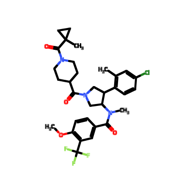 COc1ccc(C(=O)N(C)C2CN(C(=O)C3CCN(C(=O)C4(C)CC4)CC3)CC2c2ccc(Cl)cc2C)cc1C(F)(F)F